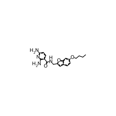 CCCCOc1ccc2cc(CNC(=O)c3ccc(N)nc3N)oc2c1